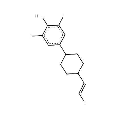 CC/C=C/C1CCC(c2cc(F)c(C)c(F)c2)CC1